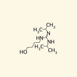 CC(C)/N=C(\NCCCCO)NC(C)C